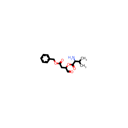 CC(C)[C@H](N)C(=O)OC(C=O)CC(=O)OCc1ccccc1